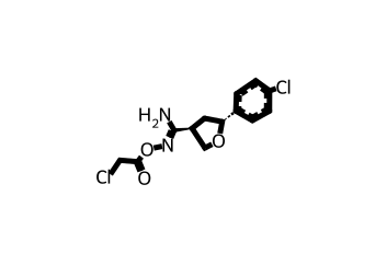 N/C(=N\OC(=O)CCl)[C@@H]1CO[C@@H](c2ccc(Cl)cc2)C1